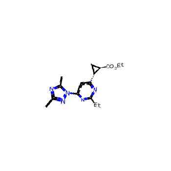 CCOC(=O)[C@@H]1C[C@H]1c1cc(-n2nc(C)nc2C)nc(CC)n1